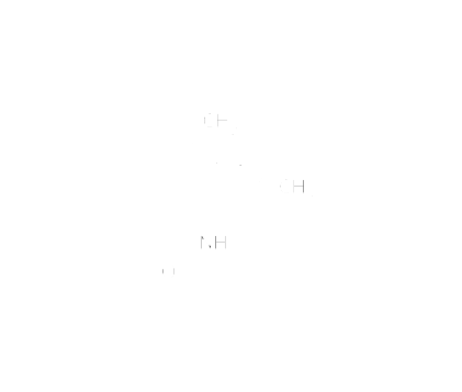 [CH2]Cc1cc(C)cc(NC=O)c1